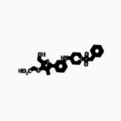 Cc1c(-c2cccc(NC3CCN(S(=O)(=O)Cc4ccccc4)CC3)c2)sc(CO)c1OCC(=O)O